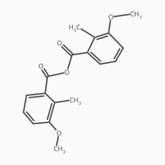 COc1cccc(C(=O)OC(=O)c2cccc(OC)c2C)c1C